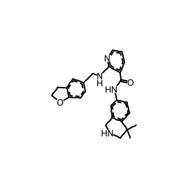 CC1(C)CNCc2cc(NC(=O)c3cccnc3NCc3ccc4c(c3)CCO4)ccc21